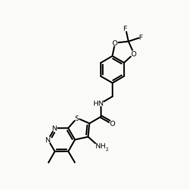 Cc1nnc2sc(C(=O)NCc3ccc4c(c3)OC(F)(F)O4)c(N)c2c1C